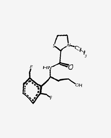 CN1CCSC1C(=O)NC(CCO)c1c(F)cccc1F